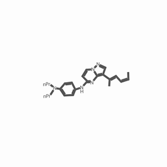 C/C=C\C=C(/C)c1cnn2ccc(Nc3ccc(N(CCC)CCC)cc3)nc12